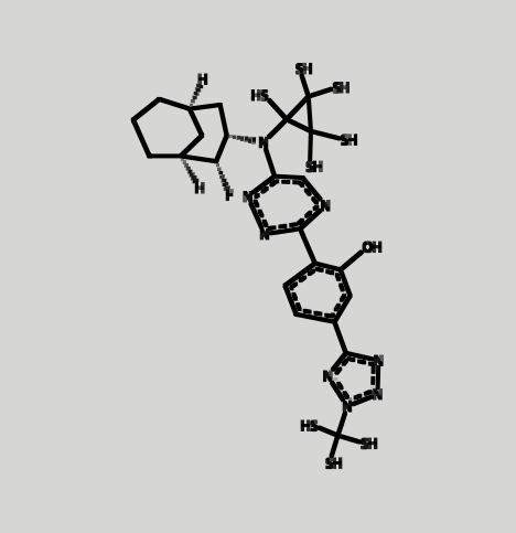 Oc1cc(-c2nnn(C(S)(S)S)n2)ccc1-c1ncc(N([C@H]2C[C@@H]3CCC[C@@H](C3)[C@H]2F)C2(S)C(S)(S)C2(S)S)nn1